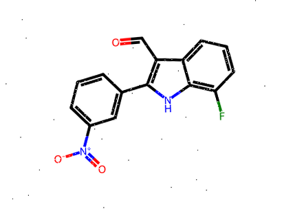 O=Cc1c(-c2cccc([N+](=O)[O-])c2)[nH]c2c(F)cccc12